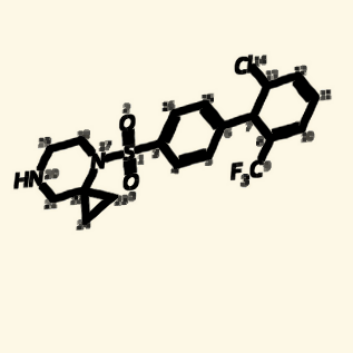 O=S(=O)(c1ccc(C2C(C(F)(F)F)=C[C]=CC2Cl)cc1)N1CCNCC12CC2